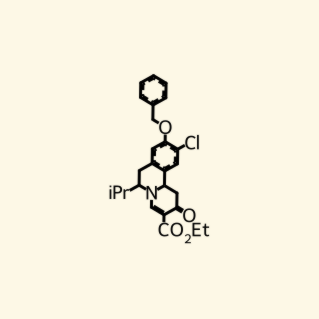 CCOC(=O)C1=CN2C(CC1=O)c1cc(Cl)c(OCc3ccccc3)cc1CC2C(C)C